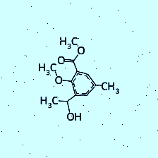 COC(=O)c1cc(C)cc(C(C)O)c1OC